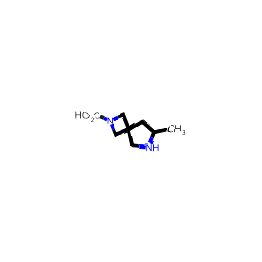 CC1CC2(CN1)CN(C(=O)O)C2